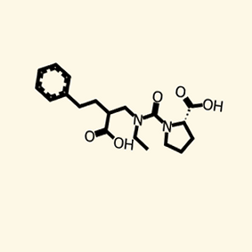 CCN(CC(CCc1ccccc1)C(=O)O)C(=O)N1CCC[C@H]1C(=O)O